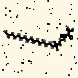 C=C(C)C(=O)NCCC[N+](C)(C)CCCCCCCCCCCCCCCC